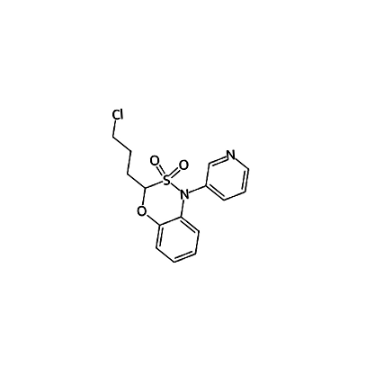 O=S1(=O)C(CCCCl)Oc2ccccc2N1c1cccnc1